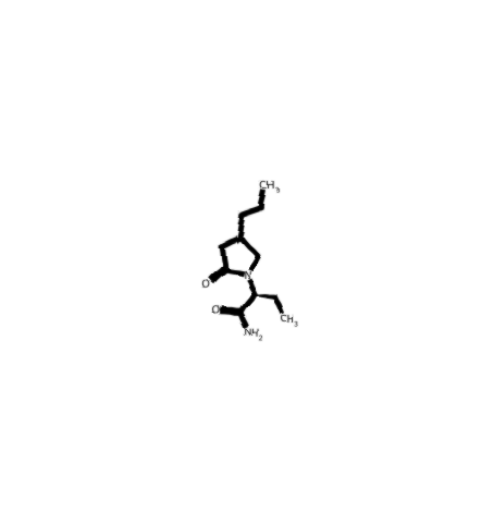 CCCC1CC(=O)N([C@@H](CC)C(N)=O)C1